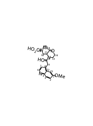 COc1ccc2nccc(CC(O)N3CCOCC3CN(C(=O)O)C(C)(C)C)c2c1